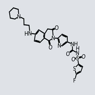 O=C(Nc1ccc(N2C(=O)Cc3cc(NCCCN4CCCCC4)ccc3C2=O)nc1)NS(=O)(=O)c1ccc(F)s1